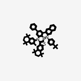 Cc1cc2c(cc1N1c3cc(-c4ccccc4)cc4c3B(c3sc5cc6c(cc5c31)C(C)(C)CCC6(C)C)N(c1ccc(C(C)(C)C)cc1)c1cc3ccccc3cc1-4)C(C)(C)CCC2(C)C